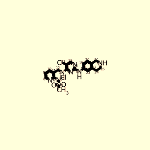 CS(=O)(=O)N(Cl)c1ncccc1CNc1nc(Nc2ccc3c(c2)CCNC3)ncc1Cl